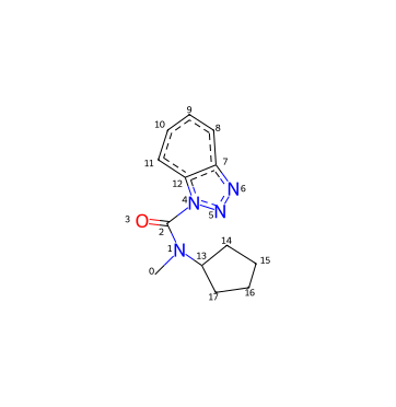 CN(C(=O)n1nnc2ccccc21)C1CCCC1